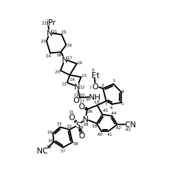 CCOc1ccccc1[C@]1(NC(=O)N2CC3(C2)CN(C2CCN(C(C)C)CC2)C3)C(=O)N(S(=O)(=O)c2ccc(C#N)cc2)c2ccc(C#N)cc21